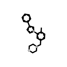 Cc1ccc(CN2CCOCC2)cc1-n1ccc(-c2ccccc2)c1